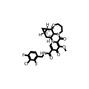 COc1c2n(cc(C(=O)NCc3ccc(F)c(Cl)c3F)c1=O)[C@H]1C[C@@H]3C[C@@H]3[C@@H]3OCCCN(C2=O)C31